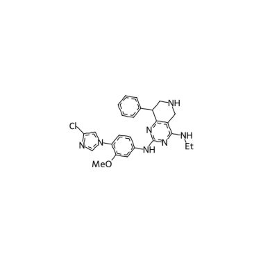 CCNc1nc(Nc2ccc(-n3cnc(Cl)c3)c(OC)c2)nc2c1CNCC2c1ccccc1